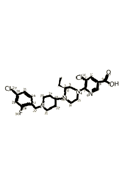 CC[C@H]1CN(c2ncc(C(=O)O)cc2Cl)CCN1C1CCN(Cc2ccc(Cl)cc2F)CC1